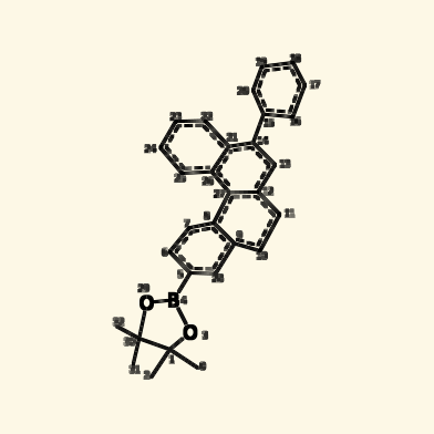 CC1(C)OB(c2ccc3c(ccc4cc(-c5ccccc5)c5ccccc5c43)c2)OC1(C)C